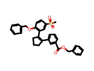 CS(=O)(=O)c1ccc(OCc2ccccc2)c(C2=C(c3cccc(C(=O)OCc4ccccc4)c3)CCC2)c1